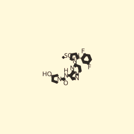 CS(=O)(=O)O.O=C(Nc1cnn2ccc(N3CCC[C@@H]3c3cc(F)ccc3F)nc12)N1CC[C@H](O)C1